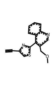 C#Cc1csc(-c2c(COC)[c]nc3ccccc23)n1